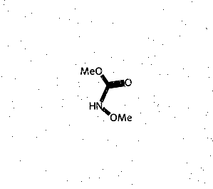 CONC(=O)OC